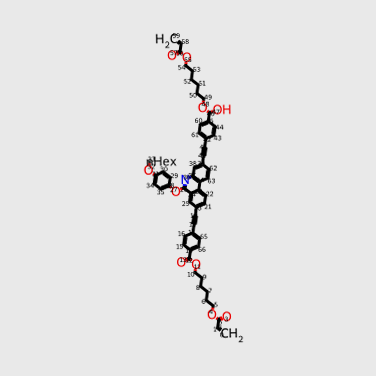 C=CC(=O)OCCCCCCOC(=O)c1ccc(C#Cc2ccc3c(c2)c(Oc2ccc(OCCCCCC)cc2)nc2cc(C#Cc4ccc(C(O)OCCCCCCOC(=O)C=C)cc4)ccc23)cc1